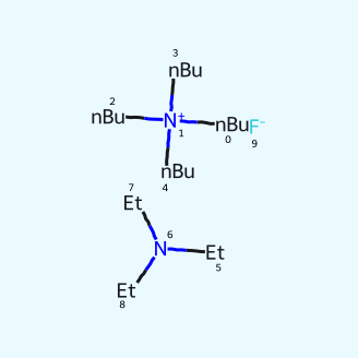 CCCC[N+](CCCC)(CCCC)CCCC.CCN(CC)CC.[F-]